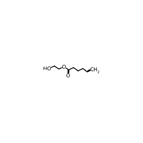 C=CCCCC(=O)OCCO